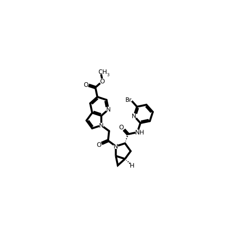 COC(=O)c1cnc2c(ccn2CC(=O)N2C3C[C@@H]3C[C@H]2C(=O)Nc2cccc(Br)n2)c1